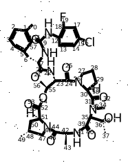 Cc1cccc(C[C@H](NC(=O)Nc2ccc(Cl)cc2F)C(=O)N[C@@H]2C(=O)N3CCC[C@H]3C(=O)N(C)C([C@@H](C)O)C(=O)N[C@@H](C)C(=O)N3C[C@H](C)C[C@H]3C(=O)O[C@H]2C)c1